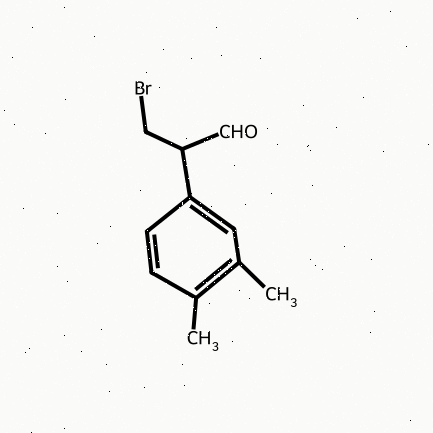 Cc1ccc(C(C=O)CBr)cc1C